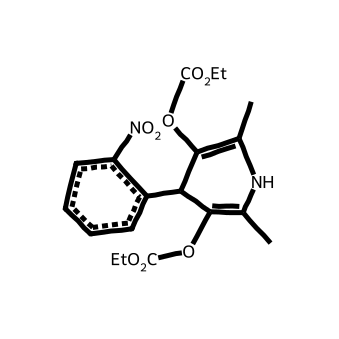 CCOC(=O)OC1=C(C)NC(C)=C(OC(=O)OCC)C1c1ccccc1[N+](=O)[O-]